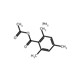 CC(=O)OC(=O)c1c(C)cc(C)cc1C.P